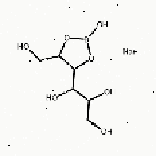 OCC(O)C(O)C1OB(O)OC1CO.[NaH]